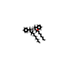 CCCCCCCC(C)(C)CC(C)(OOC(C)(CC(C)(C)CCCCCCC)c1ccccc1)c1ccccc1